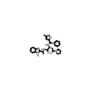 Cc1cc(C(=O)N[C@@H](CC(=O)N2CCC[C@H]2c2ccccc2)C(=O)NC(C)c2nc3ccccc3[nH]2)no1